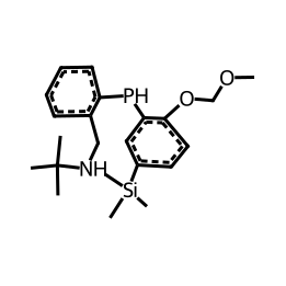 COCOc1ccc([Si](C)(C)C)cc1Pc1ccccc1CNC(C)(C)C